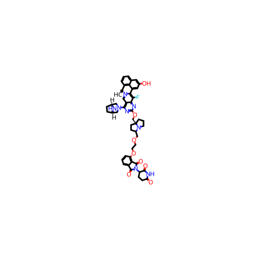 C#Cc1cccc2cc(O)cc(-c3ncc4c(N5C[C@H]6CC[C@@H](C5)N6)nc(OC[C@@]56CCCN5C(COCCOc5cccc7c5C(=O)N(C5CCC(=O)NC5=O)C7=O)CC6)nc4c3F)c12